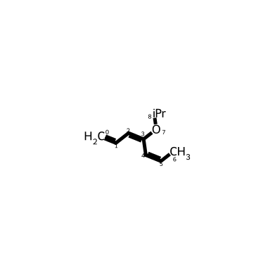 C=C/C=C(\C=C/C)OC(C)C